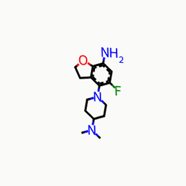 CN(C)C1CCN(c2c(F)cc(N)c3c2CCO3)CC1